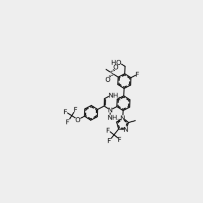 Cc1nc(C(F)(F)F)cn1-c1ccc(-c2cc(F)c(CO)c(S(C)(=O)=O)c2)cc1N(N)/C(=C\N)c1ccc(OC(F)(F)F)cc1